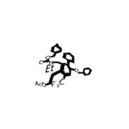 CCN(Cc1c(CCOC(C)=O)c(C(F)(F)F)cc(OCc2ccccc2)c1-c1ccccc1)C(=O)OCc1ccccc1